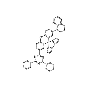 c1ccc(-c2nc(-c3ccccc3)nc(-c3ccc4c(c3)C3(c5cc(-c6cccc7cccnc67)ccc5O4)c4ccccc4-c4ccccc43)n2)cc1